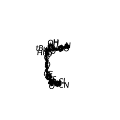 CC(C)(C)C(NC(=O)COCCCOCCCCOc1ccc(N2C(=S)N(c3ccc(C#N)c(Cl)c3)C(=O)C2(C)C)cc1F)C(=O)N1C[C@H](O)C[C@H]1C(=O)NCc1ccc(-c2cnco2)cc1